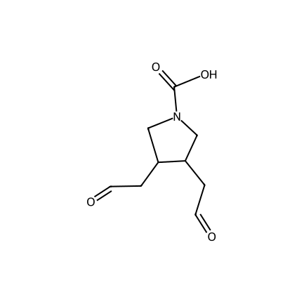 O=CCC1CN(C(=O)O)CC1CC=O